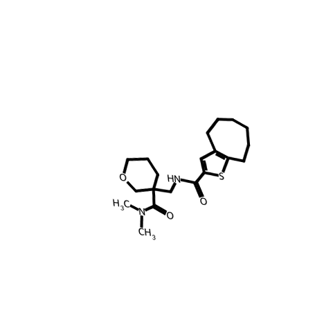 CN(C)C(=O)C1(CNC(=O)c2cc3c(s2)CCCCCC3)CCCOC1